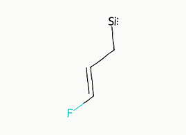 FC=CC[Si]